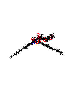 CCCCCCCCCCCCCCCCCCNC(=O)C(COC(=O)C(C)CCOC(C)(C)CCOC(C)(C)C)OC(=O)CCCCCCCCCCCCCCCCC